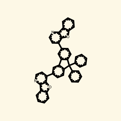 c1ccc(C2(c3ccccc3)c3ccc(-c4ccnc5c4oc4ccccc45)cc3-c3cc(-c4ccnc5c4oc4ccccc45)ccc32)cc1